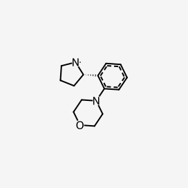 c1ccc(N2CCOCC2)c([C@@H]2CCC[N]2)c1